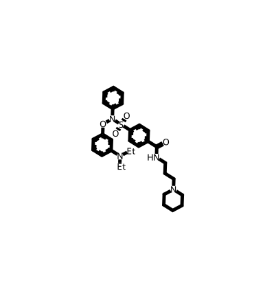 CCN(CC)c1cccc(ON(c2ccccc2)S(=O)(=O)c2ccc(C(=O)NCCCN3CCCCC3)cc2)c1